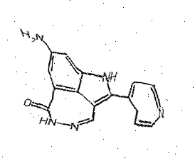 Nc1cc2c3c(c(-c4ccncc4)[nH]c3c1)C=NNC2=O